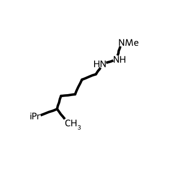 CNNNCCCCC(C)C(C)C